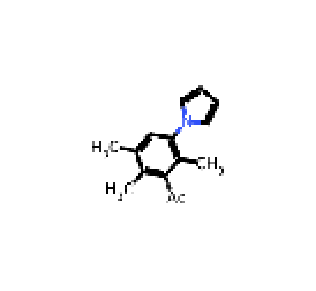 CC(=O)c1c(C)c(C)cc(-n2cccc2)c1C